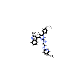 O=C(O)c1c(-c2ccc([N+](=O)[O-])cc2)nc(NCCNc2ccc([N+](=O)[O-])cn2)nc1-c1ccnc2ccccc12